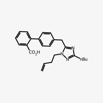 C=CCCn1nc(CCCC)nc1Cc1ccc(-c2ccccc2C(=O)O)cc1